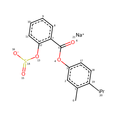 Cc1cc(OC(=O)c2ccccc2OS(=O)[O-])ccc1C(C)C.[Na+]